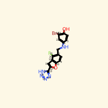 Oc1ccc(NCc2ccc3oc(-c4nnn[nH]4)cc3c2F)cc1Br